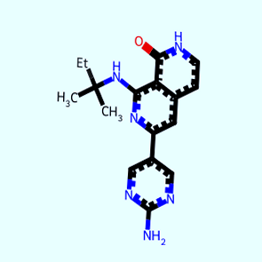 CCC(C)(C)Nc1nc(-c2cnc(N)nc2)cc2cc[nH]c(=O)c12